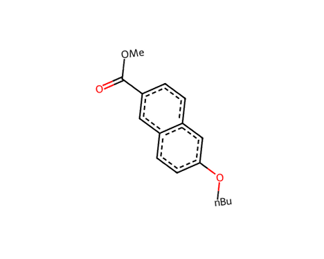 CCCCOc1ccc2cc(C(=O)OC)ccc2c1